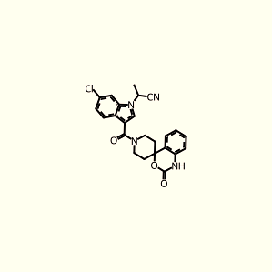 CC(C#N)n1cc(C(=O)N2CCC3(CC2)OC(=O)Nc2ccccc23)c2ccc(Cl)cc21